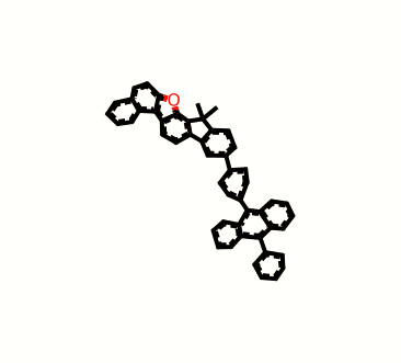 CC1(C)c2ccc(-c3ccc(-c4c5ccccc5c(-c5ccccc5)c5ccccc45)cc3)cc2-c2ccc3c(oc4ccc5ccccc5c43)c21